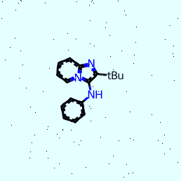 CC(C)(C)c1nc2ccccn2c1Nc1ccccc1